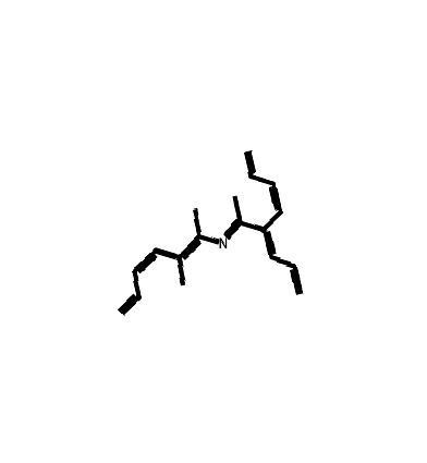 C=C\C=C/C(=C\C=C)C(/C)=N/C(C)=C(C)/C=C\C=C